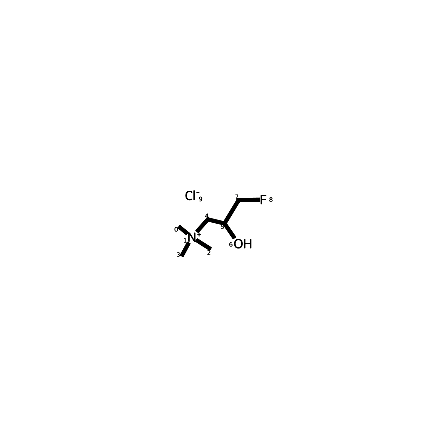 C[N+](C)(C)CC(O)CF.[Cl-]